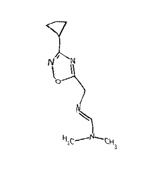 CN(C)C=NCc1nc(C2CC2)no1